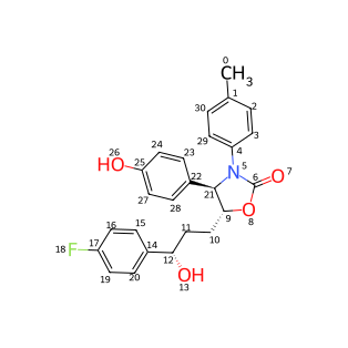 Cc1ccc(N2C(=O)O[C@H](CC[C@H](O)c3ccc(F)cc3)[C@H]2c2ccc(O)cc2)cc1